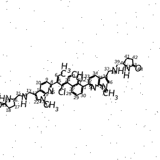 C=C/C(=C(Cl)\C(=C/C)c1ccc2c(CNCC3CCC(=O)N3)cn(C)c2n1)c1cccc(-c2ccc3c(CNC[C@@H]4CCC(=O)N4)cn(C)c3n2)c1Cl